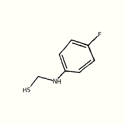 Fc1ccc(NCS)cc1